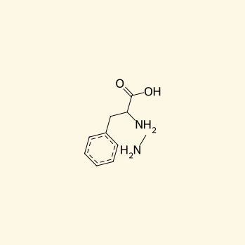 CN.NC(Cc1ccccc1)C(=O)O